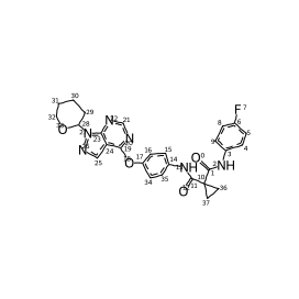 O=C(Nc1ccc(F)cc1)C1(C(=O)Nc2ccc(Oc3ncnc4c3cnn4C3CCCCO3)cc2)CC1